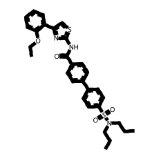 CCCN(CCC)S(=O)(=O)c1ccc(-c2ccc(C(=O)Nc3nc(-c4ccccc4OCC)cs3)cc2)cc1